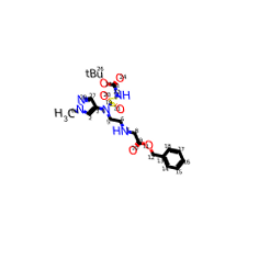 Cn1cc(N(CCNCC(=O)OCc2ccccc2)S(=O)(=O)NC(=O)OC(C)(C)C)cn1